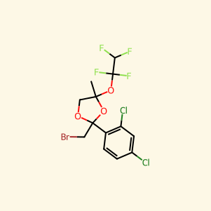 CC1(OC(F)(F)C(F)F)COC(CBr)(c2ccc(Cl)cc2Cl)O1